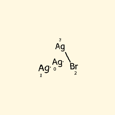 [Ag].[Ag].[Br][Ag]